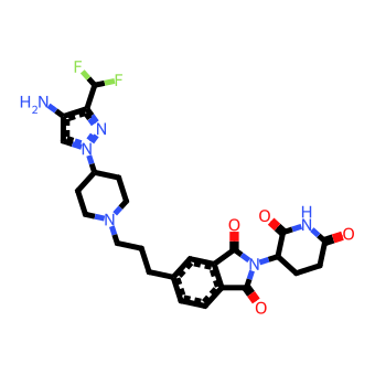 Nc1cn(C2CCN(CCCc3ccc4c(c3)C(=O)N(C3CCC(=O)NC3=O)C4=O)CC2)nc1C(F)F